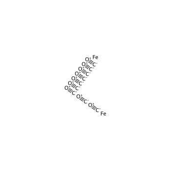 [C-]#[O+].[C-]#[O+].[C-]#[O+].[C-]#[O+].[C-]#[O+].[C-]#[O+].[C-]#[O+].[C-]#[O+].[C-]#[O+].[Fe].[Fe]